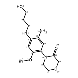 CC(C)Oc1cc(NCCCO)c(N)cc1N1CCOCC1=O